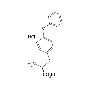 CCOC(=O)[C@@H](N)Cc1ccc(Sc2ccccc2)cc1.Cl